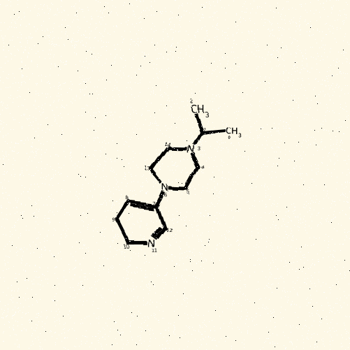 CC(C)N1CCN(C2=CCCN=C2)CC1